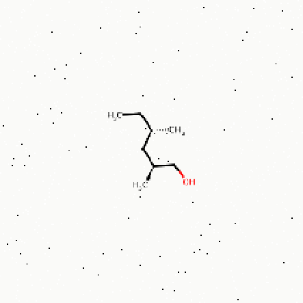 CC[C@H](C)C[C@H](C)CO